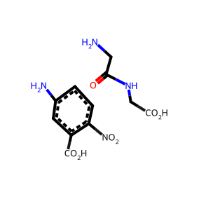 NCC(=O)NCC(=O)O.Nc1ccc([N+](=O)[O-])c(C(=O)O)c1